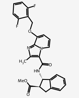 COC(=O)[C@@H]1Cc2ccccc2[C@H]1NC(=O)c1c(C)nc2c(OCc3c(F)cccc3F)cccn12